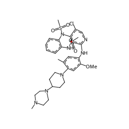 COc1cc(N2CCC(N3CCN(C)CC3)CC2)c(C)cc1Nc1ncc(Cl)c(N(c2ccccc2NS(C)(=O)=O)S(C)(=O)=O)n1